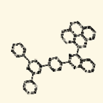 c1ccc(-c2cc(-c3ccc(-c4nc(-c5cc6cccc7ccc8cccc5c8c76)c5ccccc5n4)cc3)nc(-c3ccccc3)n2)cc1